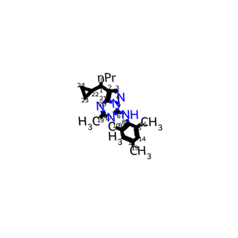 CCCC(c1cnn2c(Nc3c(C)cc(C)cc3C)nc(C)nc12)C1CC1